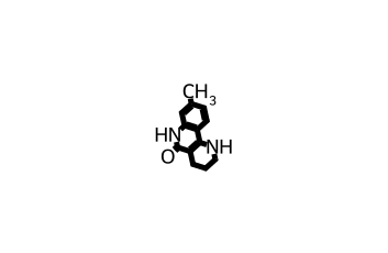 Cc1ccc2c3c(c(=O)[nH]c2c1)CCCN3